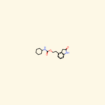 O=C1Cc2c(CCOC(=O)NC3CCCCC3)cccc2N1